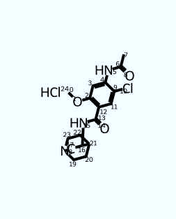 COc1cc(NC(C)=O)c(Cl)cc1C(=O)NC1CN2CCC1CC2.Cl